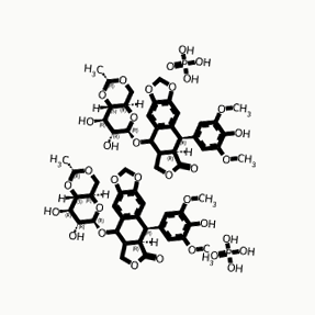 COc1cc([C@@H]2c3cc4c(cc3C(O[C@@H]3O[C@@H]5CO[C@@H](C)O[C@H]5[C@H](O)[C@H]3O)C3COC(=O)[C@@H]32)OCO4)cc(OC)c1O.COc1cc([C@@H]2c3cc4c(cc3C(O[C@@H]3O[C@@H]5CO[C@@H](C)O[C@H]5[C@H](O)[C@H]3O)C3COC(=O)[C@@H]32)OCO4)cc(OC)c1O.O=P(O)(O)O.O=P(O)(O)O